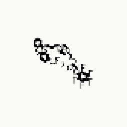 O=C(COc1c(F)c(F)c(F)c(F)c1F)OCCN1CCN(CCCN2c3ccccc3Sc3ccc(C(F)(F)F)cc32)CC1